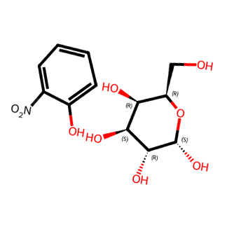 O=[N+]([O-])c1ccccc1O.OC[C@H]1O[C@H](O)[C@H](O)[C@@H](O)[C@H]1O